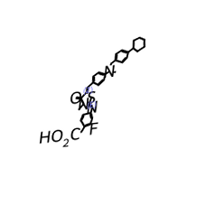 CN1C(=O)/C(=C/c2ccc(N(C)Cc3ccc(C4CCCCC4)cc3)cc2)S/C1=N/c1ccc(CC(=O)O)c(F)c1